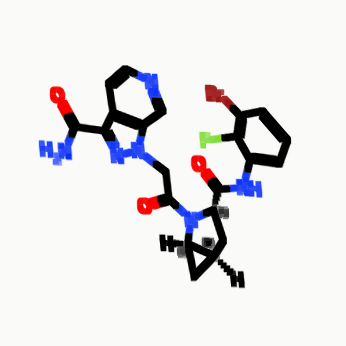 NC(=O)c1nn(CC(=O)N2[C@@H]3C[C@@H]3C[C@H]2C(=O)Nc2cccc(Br)c2F)c2cnccc12